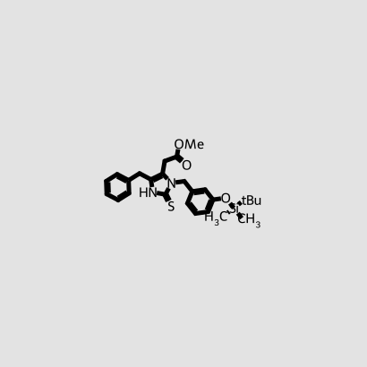 COC(=O)Cc1c(Cc2ccccc2)[nH]c(=S)n1Cc1cccc(O[Si](C)(C)C(C)(C)C)c1